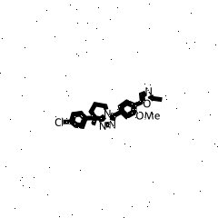 COc1cc(-c2nnc3n2CCCC3(C)c2ccc(Cl)cc2)ccc1-c1cnc(C)o1